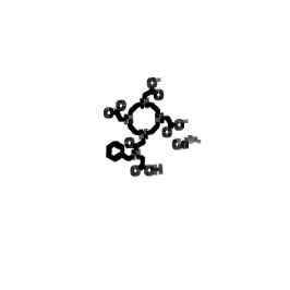 O=C([O-])CN1CCN(CC(=O)[O-])CCN(CC(=O)N(CC(=O)O)Cc2ccccc2)CCN(CC(=O)[O-])CC1.[Gd+3]